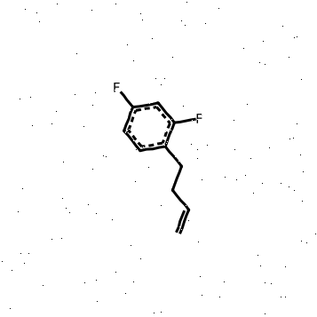 C=CCCc1ccc(F)cc1F